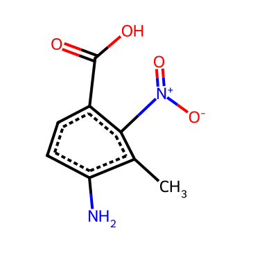 Cc1c(N)ccc(C(=O)O)c1[N+](=O)[O-]